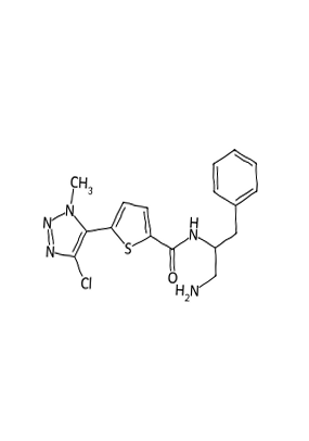 Cn1nnc(Cl)c1-c1ccc(C(=O)NC(CN)Cc2ccccc2)s1